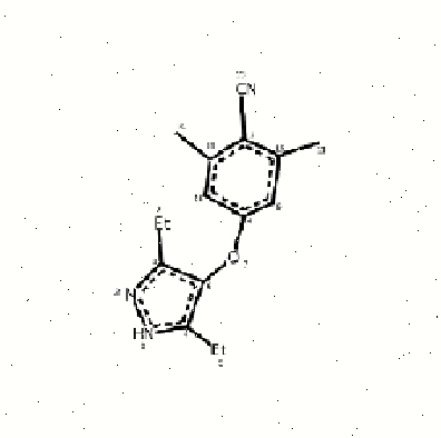 CCc1n[nH]c(CC)c1Oc1cc(C)c(C#N)c(C)c1